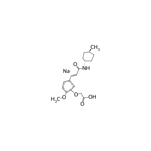 COc1ccc(C=CC(=O)N[C@H]2CC[C@H](C)CC2)cc1OCC(=O)O.[Na]